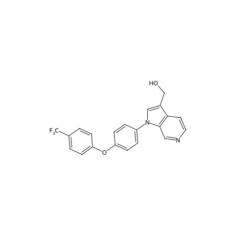 OCc1cn(-c2ccc(Oc3ccc(C(F)(F)F)cc3)cc2)c2cnccc12